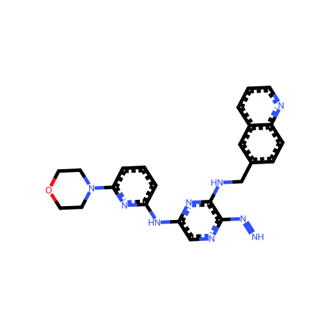 N=Nc1ncc(Nc2cccc(N3CCOCC3)n2)nc1NCc1ccc2ncccc2c1